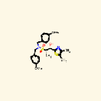 COc1ccc(CN(Cc2ccc(OC)cc2)S(=O)(=O)[C@@H](C)[C@H](O)c2nc(C)c(C)s2)cc1